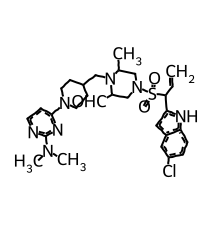 C=CC(c1cc2cc(Cl)ccc2[nH]1)S(=O)(=O)N1CC(C)N(CC2CCN(c3ccnc(N(C)C)n3)CC2)C(C=O)C1